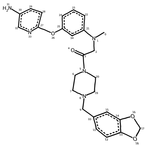 CN(CC(=O)N1CCN(Cc2ccc3c(c2)OCO3)CC1)c1cccc(Oc2ccc(N)cn2)c1